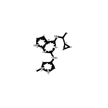 CC(Nc1nc(Nc2cnn(C)c2)nc2[nH]ccc12)C1CC1